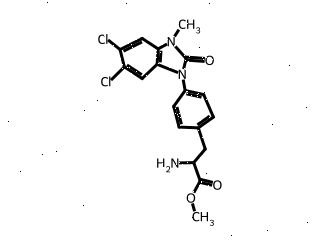 COC(=O)C(N)Cc1ccc(-n2c(=O)n(C)c3cc(Cl)c(Cl)cc32)cc1